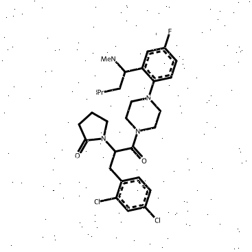 CNC(CC(C)C)c1cc(F)ccc1N1CCN(C(=O)C(Cc2ccc(Cl)cc2Cl)N2CCCC2=O)CC1